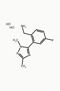 Cc1nc(-c2cc(F)ccc2CN)n(C)n1.Cl.Cl